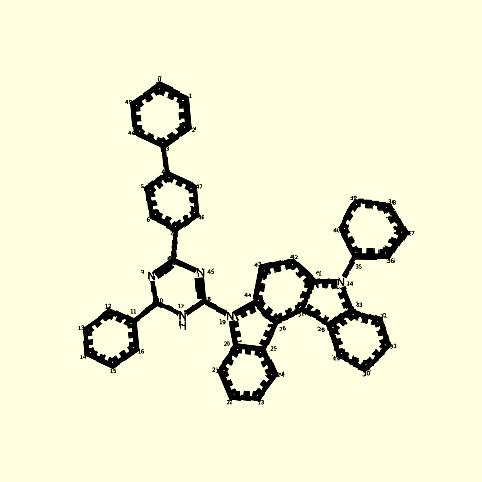 c1ccc(-c2ccc(C3=NC(c4ccccc4)NC(n4c5ccccc5c5c6c7ccccc7n(-c7ccccc7)c6ccc54)=N3)cc2)cc1